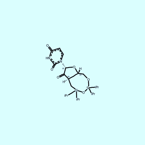 CC(C)[Si]1(C(C)C)C[C@H]2C(=O)[C@H](n3ccc(=O)[nH]c3=O)O[C@@H]2CO[Si](C(C)C)(C(C)C)O1